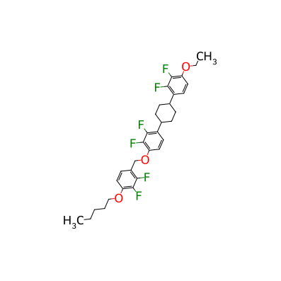 CCCCCOc1ccc(COc2ccc(C3CCC(c4ccc(OCC)c(F)c4F)CC3)c(F)c2F)c(F)c1F